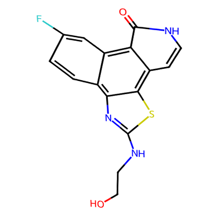 O=c1[nH]ccc2c3sc(NCCO)nc3c3ccc(F)cc3c12